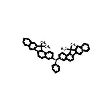 CC1(C)c2cc3ccccc3cc2-c2ccc3cc(N(c4ccccc4)c4ccc5c6c(ccc5c4)-c4cc5ccccc5cc4C6(C)C)ccc3c21